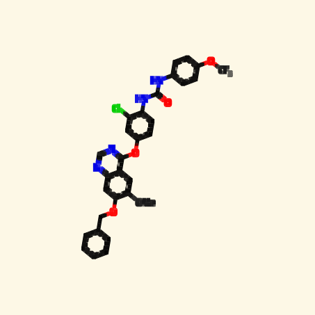 COc1cc2c(Oc3ccc(NC(=O)Nc4ccc(OC(F)(F)F)cc4)c(Cl)c3)ncnc2cc1OCc1ccccc1